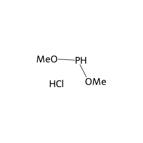 COPOC.Cl